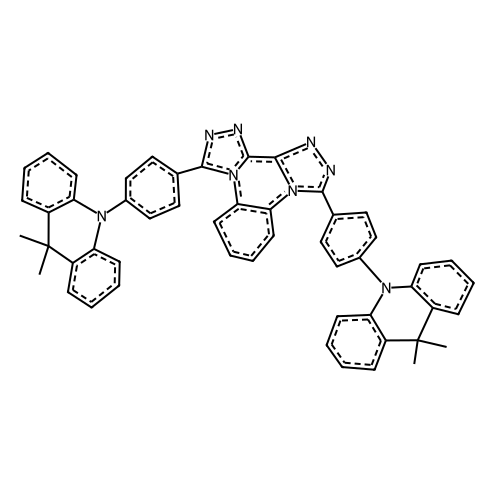 CC1(C)c2ccccc2N(c2ccc(-c3nnc4c5nnc(-c6ccc(N7c8ccccc8C(C)(C)c8ccccc87)cc6)n5c5ccccc5n34)cc2)c2ccccc21